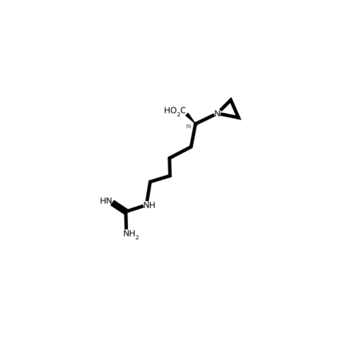 N=C(N)NCCCC[C@@H](C(=O)O)N1CC1